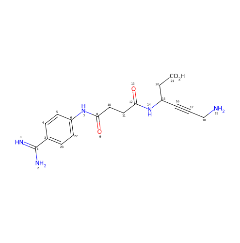 N=C(N)c1ccc(NC(=O)CCC(=O)NC(C#CCN)CC(=O)O)cc1